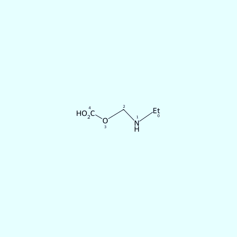 CCNCOC(=O)O